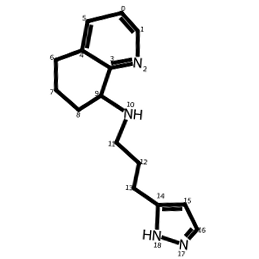 c1cnc2c(c1)CCCC2NCCCc1ccn[nH]1